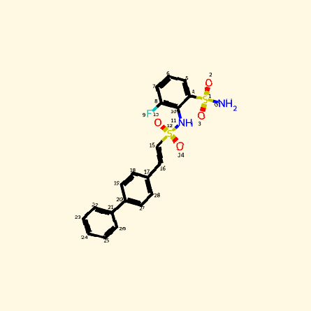 NS(=O)(=O)c1cccc(F)c1NS(=O)(=O)/C=C/c1ccc(-c2ccccc2)cc1